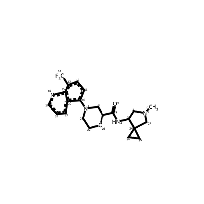 CN1CC(NC(=O)C2CN(c3ccc(C(F)(F)F)c4ncccc34)CCO2)C2(CC2)C1